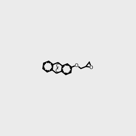 c1ccc2c(c1)C1CCC2c2cc(OCC3CO3)ccc21